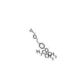 CC(C)(C)Oc1ccc(CCOCC2CC2)cc1